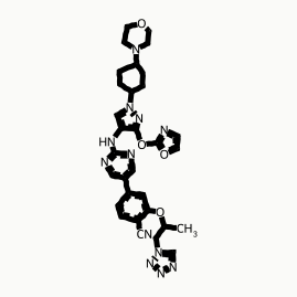 CC(Cn1cnnn1)Oc1cc(-c2cnc(Nc3cn(C4CCC(N5CCOCC5)CC4)nc3Oc3ncco3)nc2)ccc1C#N